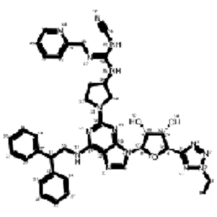 CCn1nnc([C@H]2O[C@@H](n3cnc4c(NCC(c5ccccc5)c5ccccc5)nc(N5CCC(NC(=NCc6ccccn6)NC#N)C5)nc43)[C@H](O)[C@@H]2O)n1